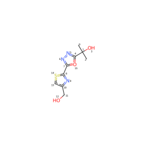 CC(C)(O)c1nnc(-c2nc(CO)cs2)o1